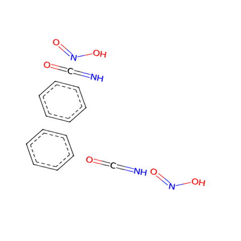 N=C=O.N=C=O.O=NO.O=NO.c1ccccc1.c1ccccc1